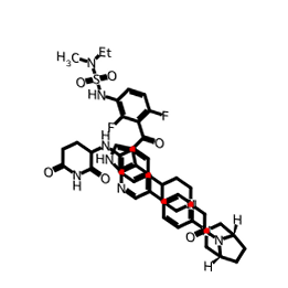 CCN(C)S(=O)(=O)Nc1ccc(F)c(C(=O)c2c[nH]c3ncc(-c4ccc(N5C[C@H]6CC[C@@H](C5)N6C(=O)CN5CCC(c6ccc(NC7CCC(=O)NC7=O)cc6)CC5)nc4)cc23)c1F